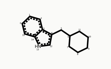 c1ccc2c(CC3CCCCC3)c[nH]c2c1